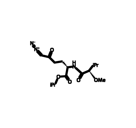 CO[C@H](C(=O)N[C@@H](CCC(=O)C=[N+]=[N-])C(=O)OC(C)C)C(C)C